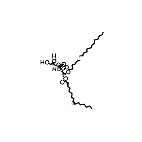 CCCCCC/C=C\CCCCCCCC(=O)OC[C@H](COP(=O)(O)OC[C@@H](O)CO)OC(=O)CCCCCCCCCCCCCCCCCC